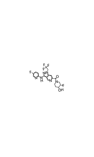 O=C(c1cc2c(cn1)c(Nc1ccc(F)cn1)nn2CC(F)(F)F)N1CC[C@H](O)[C@H](F)C1